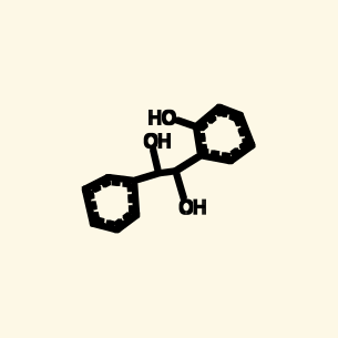 Oc1ccccc1C(O)C(O)c1ccccc1